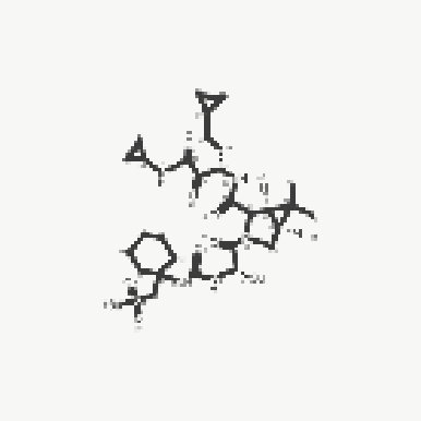 CC(C)(C)[C@H](NC(=O)NC1(CS(=O)(=O)C(C)(C)C)CCCCC1)C(=O)N1C[C@H]2[C@@H](C1C(=O)N[C@@H](CCC1CC1)C(=O)C(=O)NC1CC1)C2(C)C